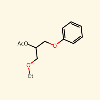 CCOCC(COc1ccccc1)OC(C)=O